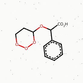 O=C(O)C(OC1CCOOO1)c1ccccc1